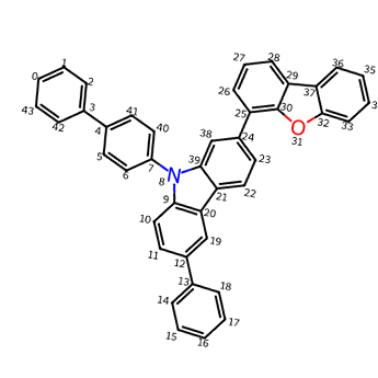 c1ccc(-c2ccc(-n3c4ccc(-c5ccccc5)cc4c4ccc(-c5cccc6c5oc5ccccc56)cc43)cc2)cc1